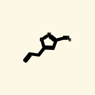 C=CCc1cc(N)no1